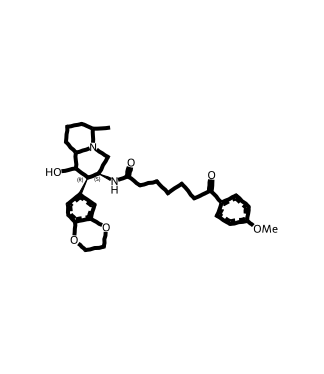 COc1ccc(C(=O)CCCCCC(=O)N[C@@H]2CN3C(C)CCCC3C(O)[C@@H]2c2ccc3c(c2)OCCO3)cc1